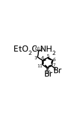 CCOC(=O)C(N)Cc1ccc(Br)c(Br)c1